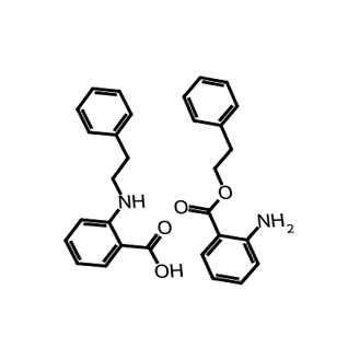 Nc1ccccc1C(=O)OCCc1ccccc1.O=C(O)c1ccccc1NCCc1ccccc1